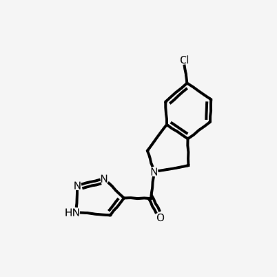 O=C(c1c[nH]nn1)N1Cc2ccc(Cl)cc2C1